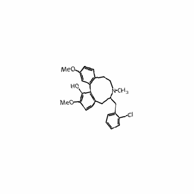 COc1ccc2c(c1)-c1c(ccc(OC)c1O)CC(Cc1ccccc1Cl)N(C)CC2